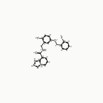 O=C(NCc1cc(OCc2ccccc2F)ccc1F)c1cccn2cnnc12